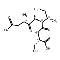 CC[C@H](C)[C@H](NC(=O)[C@@H](N)CC(N)=O)C(=O)N[C@@H](CO)C(=O)O